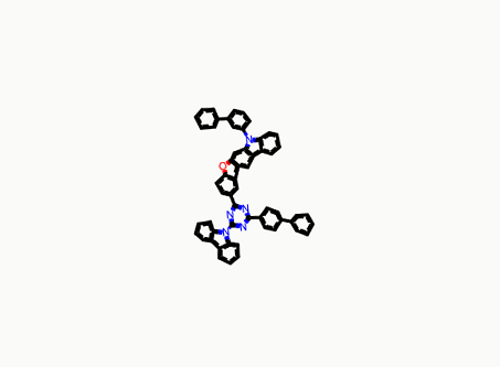 c1ccc(-c2ccc(-c3nc(-c4ccc5oc6cc7c(cc6c5c4)c4ccccc4n7-c4cccc(-c5ccccc5)c4)nc(-n4c5ccccc5c5ccccc54)n3)cc2)cc1